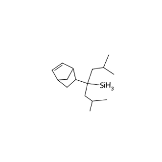 CC(C)CC([SiH3])(CC(C)C)C1CC2C=CC1C2